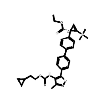 CCOC(=O)[C@]1(c2ccc(-c3ccc(-c4onc(C)c4NC(=O)OCCC4CC4)cc3)cc2)C=C1[Si](C)(C)C